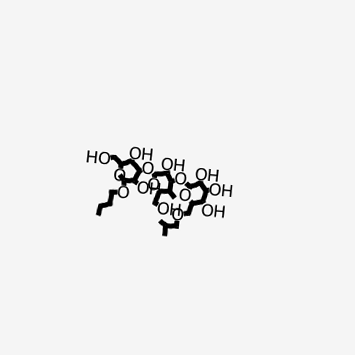 CCCCOC1OC(CO)C(O)C(OC2OC(CO)C(C)C(OC3OC(COCC(C)C)C(O)C(O)C3O)C2O)C1O